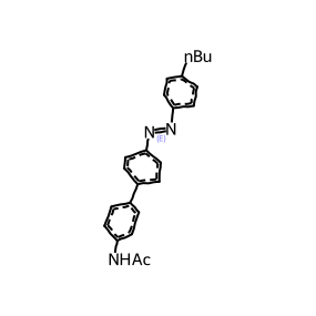 CCCCc1ccc(/N=N/c2ccc(-c3ccc(NC(C)=O)cc3)cc2)cc1